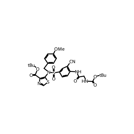 COc1ccc(CN(c2scnc2C(=O)OC(C)(C)C)S(=O)(=O)c2ccc(NC(=O)CNC(=O)OC(C)(C)C)c(C#N)c2)cc1